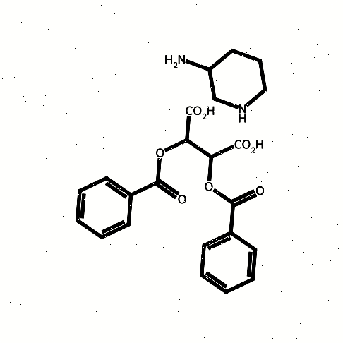 NC1CCCNC1.O=C(OC(C(=O)O)C(OC(=O)c1ccccc1)C(=O)O)c1ccccc1